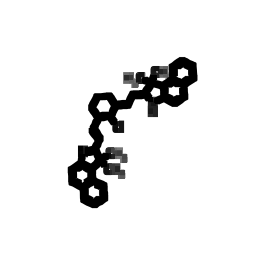 CC1(C)C(C=CC2=C(Cl)C(=CC=C3Nc4ccc5ccccc5c4C3(C)C)CCC2)=Nc2ccc3ccccc3c21